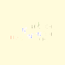 CN(c1nc(SO)ncc1Cl)S(C)(C)C